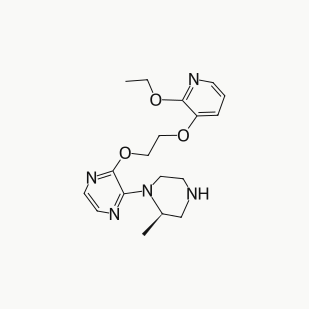 CCOc1ncccc1OCCOc1nccnc1N1CCNC[C@H]1C